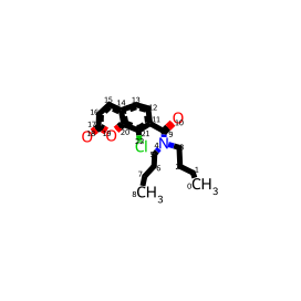 CCCCN(CCCC)C(=O)c1ccc2ccc(=O)oc2c1Cl